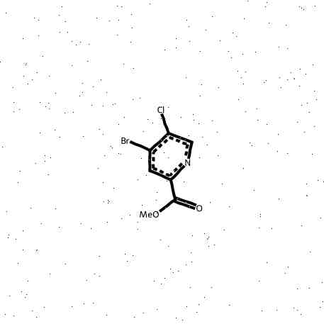 COC(=O)c1cc(Br)c(Cl)cn1